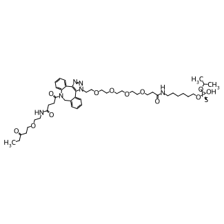 CCC(=O)CCOCCNC(=O)CCC(=O)N1Cc2ccccc2-c2c(nnn2CCOCCOCCOCCOCCC(=O)NCCCCCCOP(O)(=S)OC(C)C)-c2ccccc21